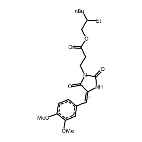 CCCCC(CC)COC(=O)CCN1C(=O)N/C(=C/c2ccc(OC)c(OC)c2)C1=O